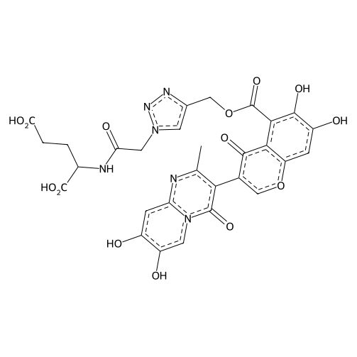 Cc1nc2cc(O)c(O)cn2c(=O)c1-c1coc2cc(O)c(O)c(C(=O)OCc3cn(CC(=O)NC(CCC(=O)O)C(=O)O)nn3)c2c1=O